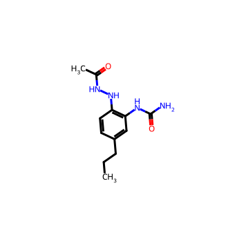 CCCc1ccc(NNC(C)=O)c(NC(N)=O)c1